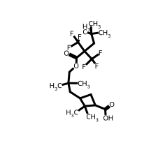 CC(C)(C)CC(C(=O)OCC(C)(C)CC1CC(C(=O)O)C1(C)C)(C(F)(F)F)C(F)(F)F